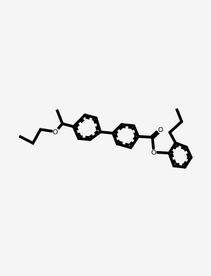 CCCOC(C)c1ccc(-c2ccc(C(=O)Oc3ccccc3CCC)cc2)cc1